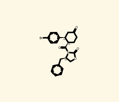 O=C1CC[C@@H](C(=O)N2C(=O)OC[C@H]2Cc2ccccc2)[C@@H](c2ccc(Br)cc2)C1